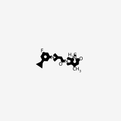 Cc1cc(=O)n(C)c2c1CN(C(=O)CC1CN(c3cc(F)cc(C4CC4)c3)C1)C2